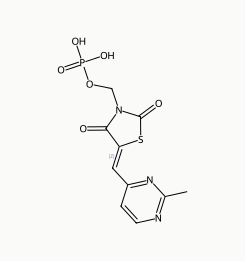 Cc1nccc(/C=C2\SC(=O)N(COP(=O)(O)O)C2=O)n1